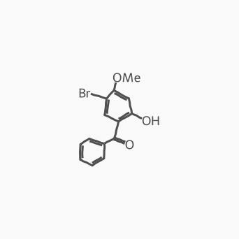 COc1cc(O)c(C(=O)c2ccccc2)cc1Br